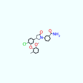 COc1cccc(C)c1Oc1cc([C@H]2CC(=O)N(c3cccc(C(N)=O)c3)C2)ccc1Cl